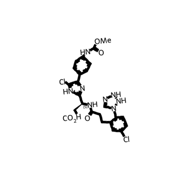 COC(=O)Nc1ccc(-c2nc([C@H](CC(=O)O)NC(=O)CCc3cc(Cl)ccc3N3C=NNN3)[nH]c2Cl)cc1